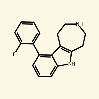 Fc1ccccc1-c1cccc2[nH]c3c(c12)CCNCC3